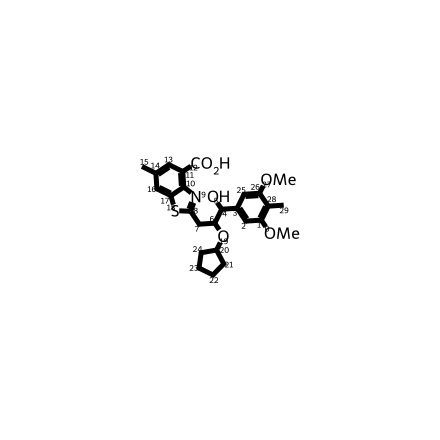 COc1cc(C(O)C(Cc2nc3c(C(=O)O)cc(C)cc3s2)OC2CCCC2)cc(OC)c1C